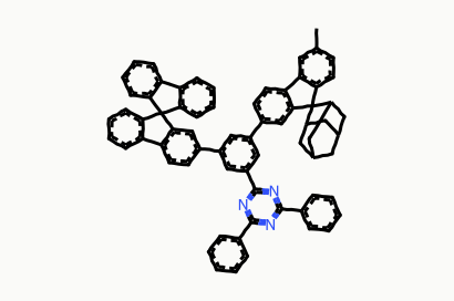 Cc1ccc2c(c1)-c1ccc(-c3cc(-c4ccc5c(c4)C4(c6ccccc6-c6ccccc64)c4ccccc4-5)cc(-c4nc(-c5ccccc5)nc(-c5ccccc5)n4)c3)cc1C21C2CC3CC(C2)CC1C3